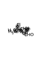 C[C@@H]1CN(c2ccc(C=O)c(Oc3cnc4[nH]ccc4c3)c2)CCN1CC1=C(c2ccc(Cl)cc2)CC(C)(C)C2(CC2)C1